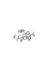 C=C(C)C(=O)OC(C)(CCC)CC(F)(C(F)(F)F)C(F)(F)F